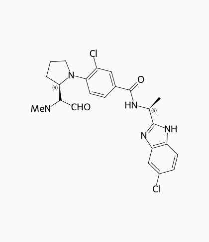 CNC(C=O)[C@H]1CCCN1c1ccc(C(=O)N[C@@H](C)c2nc3cc(Cl)ccc3[nH]2)cc1Cl